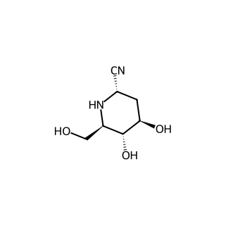 N#C[C@@H]1C[C@@H](O)[C@H](O)[C@@H](CO)N1